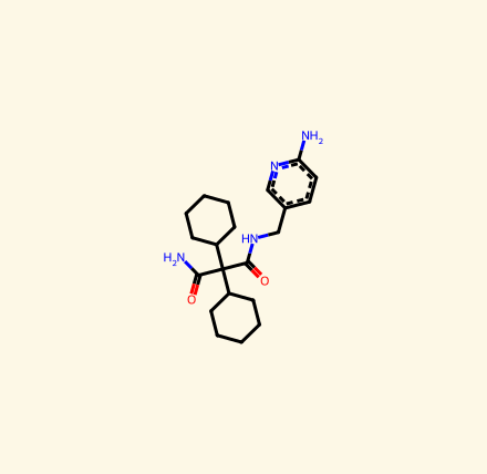 NC(=O)C(C(=O)NCc1ccc(N)nc1)(C1CCCCC1)C1CCCCC1